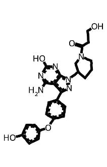 Nc1nc(O)nc2c1c(-c1ccc(Oc3ccc(O)cc3)cc1)nn2C1CCCN(C(=O)CCO)C1